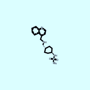 CC(C)(C)S(=O)(=O)N[C@H]1CC[C@H](CNCc2ccnc3ccccc23)CC1